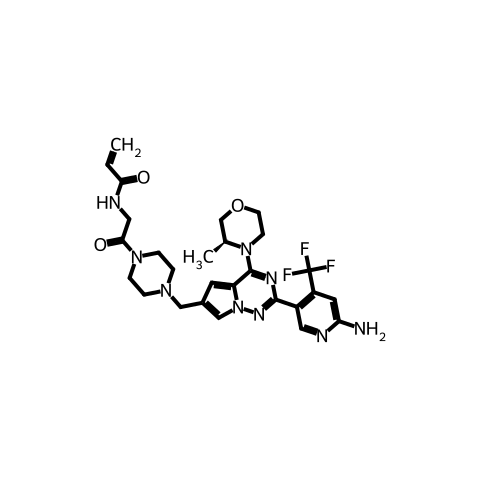 C=CC(=O)NCC(=O)N1CCN(Cc2cc3c(N4CCOC[C@@H]4C)nc(-c4cnc(N)cc4C(F)(F)F)nn3c2)CC1